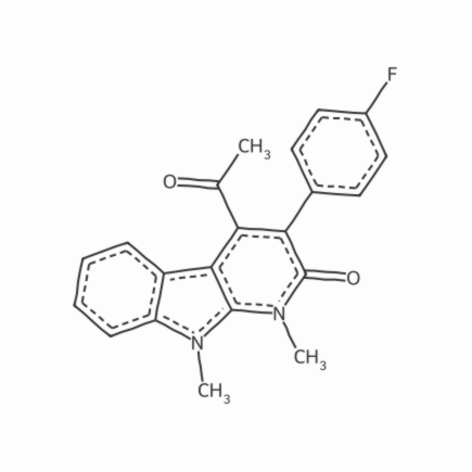 CC(=O)c1c(-c2ccc(F)cc2)c(=O)n(C)c2c1c1ccccc1n2C